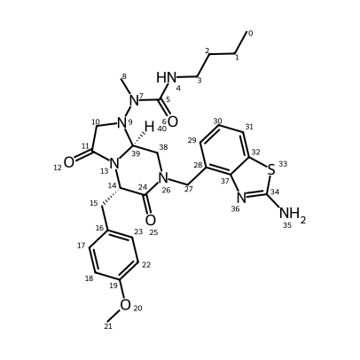 CCCCNC(=O)N(C)N1CC(=O)N2[C@@H](Cc3ccc(OC)cc3)C(=O)N(Cc3cccc4sc(N)nc34)C[C@@H]21